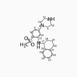 CS(=O)(=O)c1ccc(N2CCNCC2)cc1NC1CCCc2ccccc21